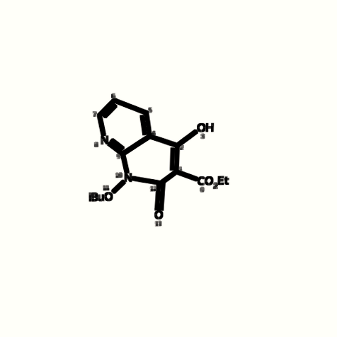 CCOC(=O)c1c(O)c2cccnc2n(OCC(C)C)c1=O